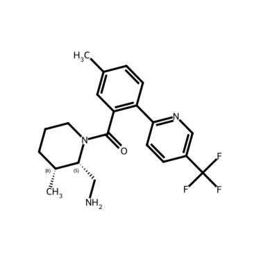 Cc1ccc(-c2ccc(C(F)(F)F)cn2)c(C(=O)N2CCC[C@@H](C)[C@H]2CN)c1